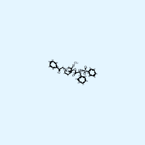 O=C(C[N+]12CCC(CC1)[C@@H](OC(=O)C(NS(=O)(=O)c1ccccc1)c1ccccc1)C2)c1ccccc1.[Cl-]